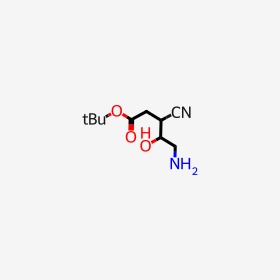 CC(C)(C)OC(=O)CC(C#N)C(O)CN